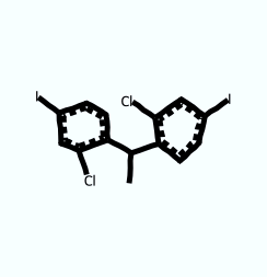 CC(c1ccc(I)cc1Cl)c1ccc(I)cc1Cl